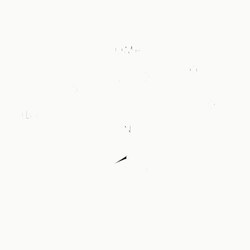 COC(=O)c1sc(C(C)(C)C)cc1N(C(=O)[C@@H]1CC=C(C)CC1)C1CCC2(CC1)OCCO2